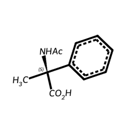 CC(=O)N[C@](C)(C(=O)O)c1ccccc1